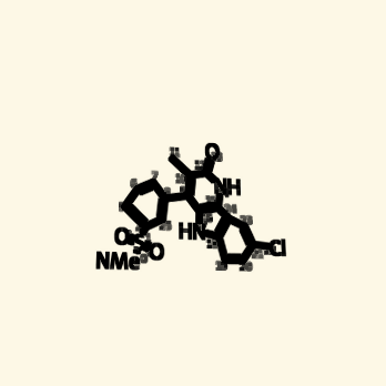 CNS(=O)(=O)c1cccc(-c2c(C)c(=O)[nH]c3c2[nH]c2ccc(Cl)cc23)c1